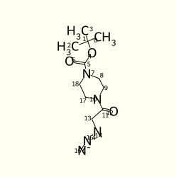 CC(C)(C)OC(=O)N1CCN(C(=O)CN=[N+]=[N-])CC1